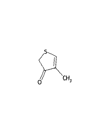 CC1=CSCC1=O